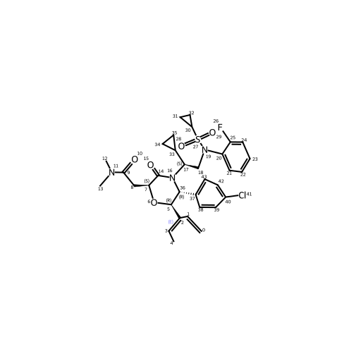 C=C/C(=C\C)[C@H]1O[C@@H](CC(=O)N(C)C)C(=O)N([C@H](CN(c2ccccc2F)S(=O)(=O)C2CC2)C2CC2)[C@@H]1c1ccc(Cl)cc1